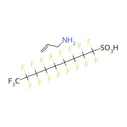 C=CCN.O=S(=O)(O)C(F)(F)C(F)(F)C(F)(F)C(F)(F)C(F)(F)C(F)(F)C(F)(F)C(F)(F)C(F)(F)F